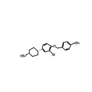 CCCCc1ccc(COc2ccc([C@H]3CC[C@H](CCCC)CC3)cc2Br)cc1